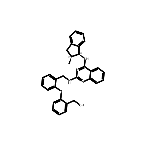 C[C@H]1Cc2ccccc2[C@H]1Nc1nc(NCc2ccccc2Sc2ccccc2CO)nc2ccccc12